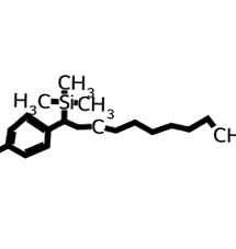 CCCCCCCCCC(c1ccc(Cl)cc1)[Si](C)(C)C